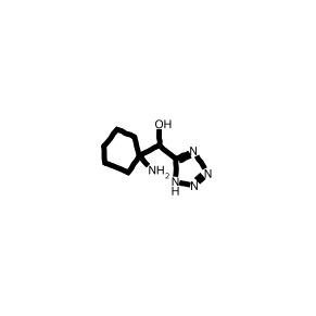 NC1(C(O)c2nnn[nH]2)CCCCC1